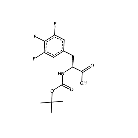 CC(C)(C)OC(=O)N[C@@H](Cc1cc(F)c(F)c(F)c1)C(=O)O